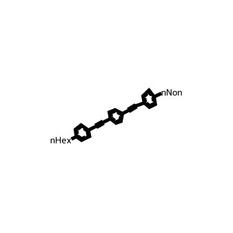 CCCCCCCCCc1ccc(C#Cc2ccc(C#Cc3ccc(CCCCCC)cc3)cc2)cc1